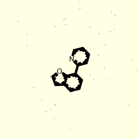 [c]1cc2cccc(-c3ccccn3)c2o1